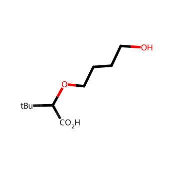 CC(C)(C)C(OCCCCO)C(=O)O